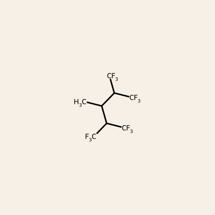 CC(C(C(F)(F)F)C(F)(F)F)C(C(F)(F)F)C(F)(F)F